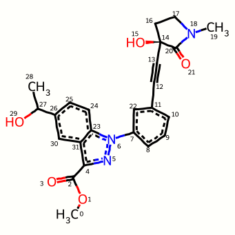 COC(=O)c1nn(-c2cccc(C#C[C@]3(O)CCN(C)C3=O)c2)c2ccc(C(C)O)cc12